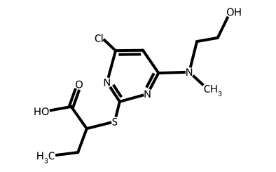 CCC(Sc1nc(Cl)cc(N(C)CCO)n1)C(=O)O